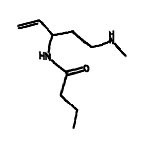 C=CC(CCNC)NC(=O)CCC